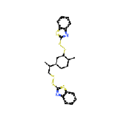 CC(CSSc1nc2ccccc2s1)C1CCC(C)C(SSc2nc3ccccc3s2)C1